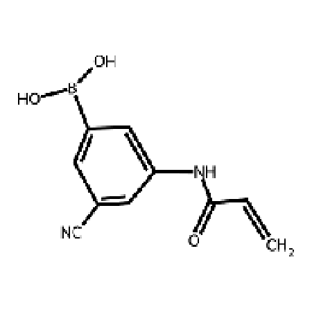 C=CC(=O)Nc1cc(C#N)cc(B(O)O)c1